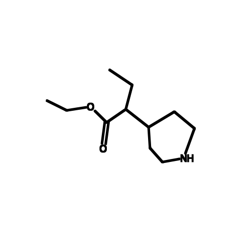 CCOC(=O)C(CC)C1CCNCC1